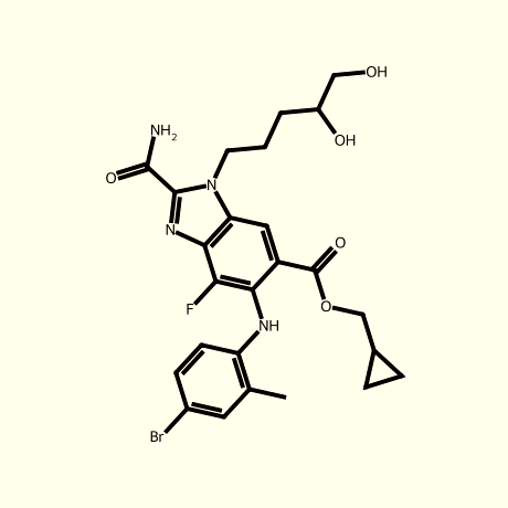 Cc1cc(Br)ccc1Nc1c(C(=O)OCC2CC2)cc2c(nc(C(N)=O)n2CCCC(O)CO)c1F